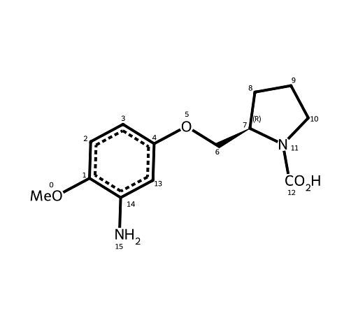 COc1ccc(OC[C@H]2CCCN2C(=O)O)cc1N